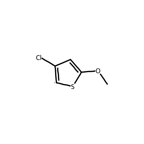 COc1cc(Cl)[c]s1